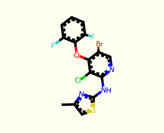 Cc1csc(Nc2ncc(Br)c(Oc3c(F)cccc3F)c2Cl)n1